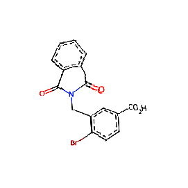 O=C(O)c1ccc(Br)c(CN2C(=O)c3ccccc3C2=O)c1